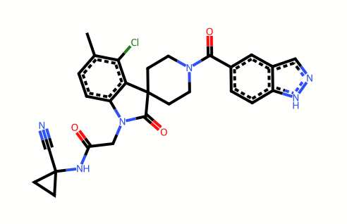 Cc1ccc2c(c1Cl)C1(CCN(C(=O)c3ccc4[nH]ncc4c3)CC1)C(=O)N2CC(=O)NC1(C#N)CC1